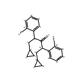 O=C(C(CC1CC1)c1ccccc1F)C(CC1CC1)c1ccccc1F